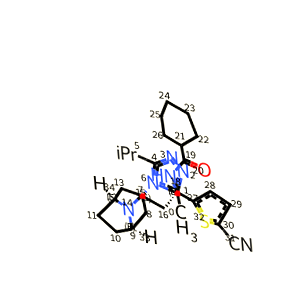 Cc1nnc(C(C)C)n1[C@@H]1C[C@H]2CC[C@@H](C1)N2CC[C@H](NC(=O)C1CCCCC1)c1ccc(C#N)s1